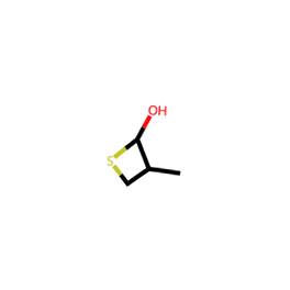 CC1CSC1O